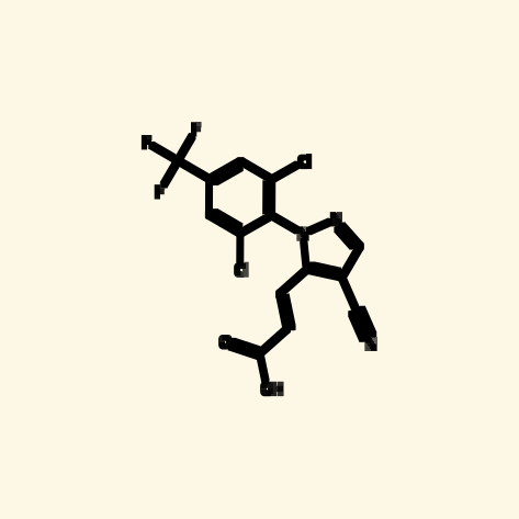 N#Cc1cnn(-c2c(Cl)cc(C(F)(F)F)cc2Cl)c1C=CC(=O)O